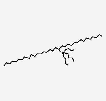 CCCCCCCCCCCCCCCCCCC(CCCCCCCCCCCCCC)C[PH](CCCC)(CCCC)CCCC